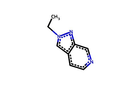 CCn1cc2ccncc2n1